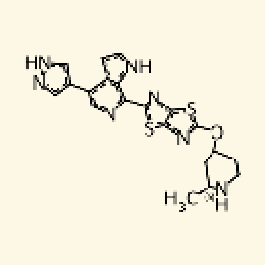 C[C@H]1CC(Oc2nc3sc(-c4ncc(-c5cn[nH]c5)c5cc[nH]c45)nc3s2)CCN1